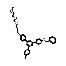 COCCOCOCCCc1ccc(-c2cc(-c3ccc(C)cc3)cc(-c3ccc(OCc4ccccc4)cc3)c2)cc1